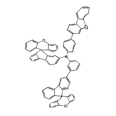 c1cc(-c2ccc3c(c2)-c2ccccc2C32c3ccccc3Oc3ccccc32)cc(N(c2ccc(-c3ccc4c(c3)oc3ccccc34)cc2)c2ccc3c(c2)C2(c4ccccc4Oc4ccccc42)c2ccccc2-3)c1